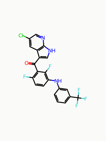 O=C(c1c(F)ccc(Nc2cccc(C(F)(F)F)c2)c1F)c1c[nH]c2ncc(Cl)cc12